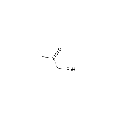 CC(=O)[CH2][PbH]